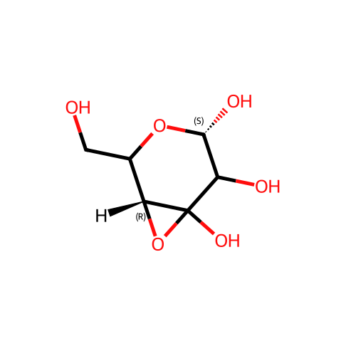 OCC1O[C@H](O)C(O)C2(O)O[C@H]12